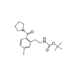 CC(C)(C)OC(=O)NCCc1cc(I)ccc1C(=O)N1CCCC1